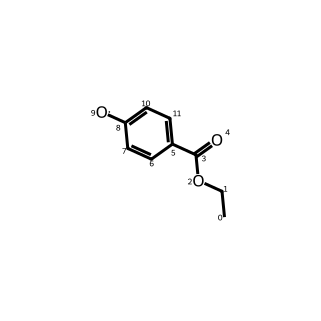 CCOC(=O)c1ccc([O])cc1